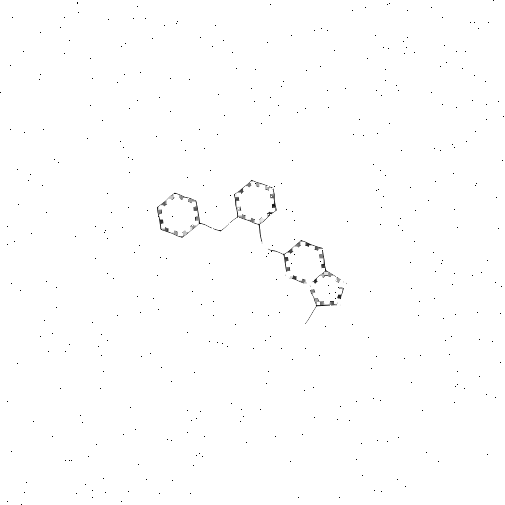 Cc1nnc2ccc(Oc3ccccc3Cc3ccccc3)nn12